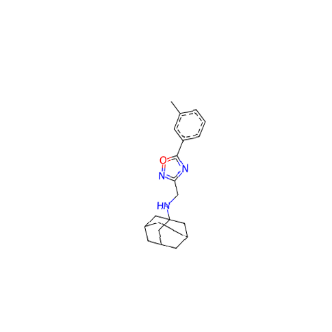 Cc1cccc(-c2nc(CNC34CC5CC(CC(C5)C3)C4)no2)c1